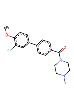 CCCOc1ccc(-c2ccc(C(=O)N3CCN(C)CC3)cc2)cc1Cl